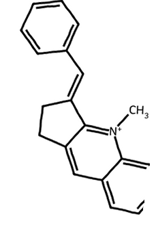 C[n+]1c2c(cc3ccccc31)CC/C2=C\c1ccccc1